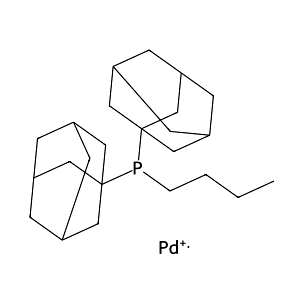 CCCCP(C12CC3CC(CC(C3)C1)C2)C12CC3CC(CC(C3)C1)C2.[Pd+]